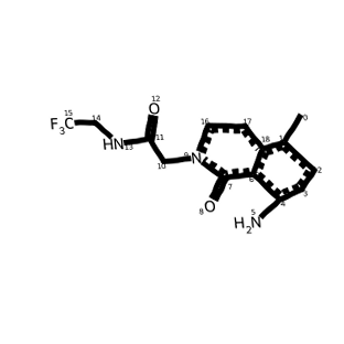 Cc1ccc(N)c2c(=O)n(CC(=O)NCC(F)(F)F)ccc12